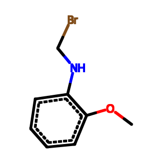 COc1ccccc1NCBr